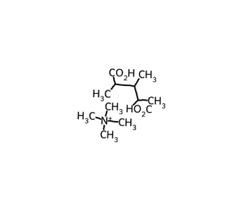 CC(C(=O)O)C(C)C(C)C(=O)O.C[N+](C)(C)C